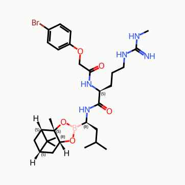 CNC(=N)NCCC[C@H](NC(=O)COc1ccc(Br)cc1)C(=O)N[C@@H](CC(C)C)B1O[C@@H]2C[C@@H]3C[C@@H](C3(C)C)[C@]2(C)O1